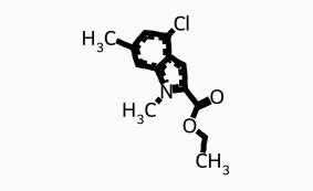 CCOC(=O)c1cc2c(Cl)cc(C)cc2n1C